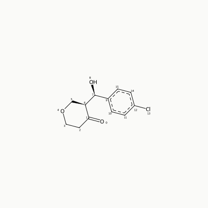 O=C1CCOC[C@H]1[C@@H](O)c1ccc(Cl)cc1